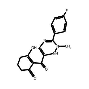 CN1NC(C(=O)C2=C(O)CCCC2=O)=CN=C1c1ccc(F)cc1